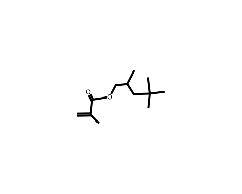 C=C(C)C(=O)OCC(C)CC(C)(C)C